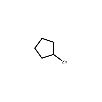 [Zn][CH]1CCCC1